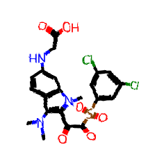 CN(C)c1c(C(=O)C(=O)S(=O)(=O)c2cc(Cl)cc(Cl)c2)n(C)c2cc(NCC(=O)O)ccc12